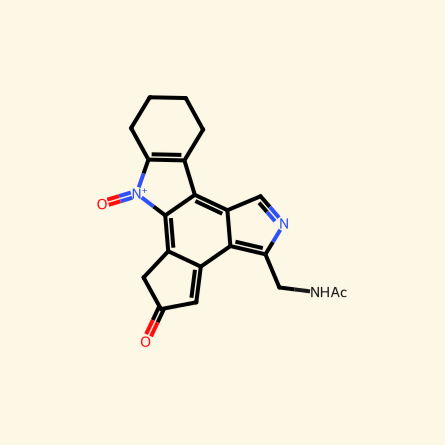 CC(=O)NCC1=c2c(c3c(c4c2=CC(=O)C4)[N+](=O)C2=C3CCCC2)C=N1